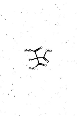 COC(=O)C(C(=O)OC)(C(=O)OC)C(C)C